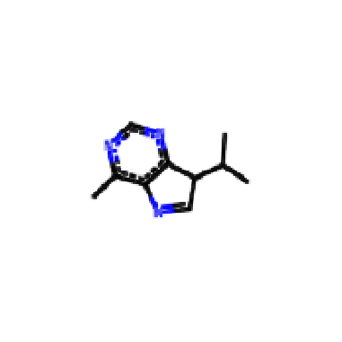 Cc1ncnc2c1N=CC2C(C)C